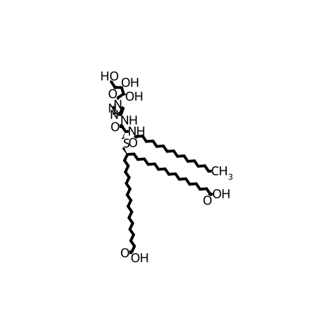 CCCCCCCCCCCCCCCC(=O)N[C@H](CSC[C@H](CCCCCCCCCCCCCCCCC(=O)O)CCCCCCCCCCCCCCCC(=O)O)C(=O)Nc1cn([C@H]2OC(CO)[C@@H](O)[C@H]2O)nn1